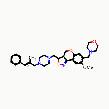 COc1cc2c(cc1CN1CCOCC1)OCC1C2=NOC1CN1CCN(C/C(C)=C/c2ccccc2)CC1